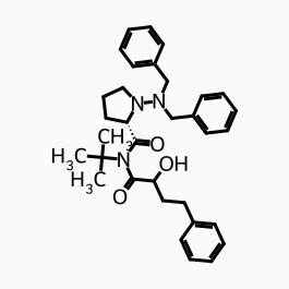 CC(C)(C)N(C(=O)C(O)CCc1ccccc1)C(=O)[C@@H]1CCCN1N(Cc1ccccc1)Cc1ccccc1